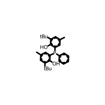 Cc1cc(P(c2ccccc2)c2cc(C)cc(C(C)(C)C)c2O)c(O)c(C(C)(C)C)c1